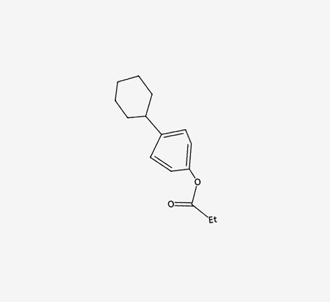 CCC(=O)Oc1ccc(C2CCCCC2)cc1